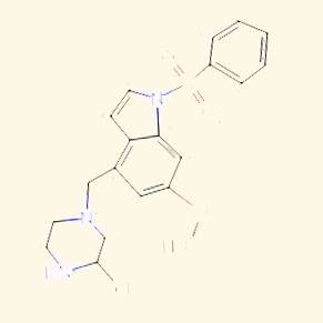 COc1cc(CN2CCNC(C)C2)c2ccn(S(=O)(=O)c3ccccc3)c2c1